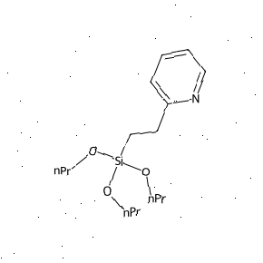 CCCO[Si](CCc1ccccn1)(OCCC)OCCC